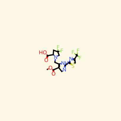 COC(=O)C1=C(CN2CC(F)(F)CC2C(=O)O)NC(c2nc(C(F)(F)F)cs2)=NC1